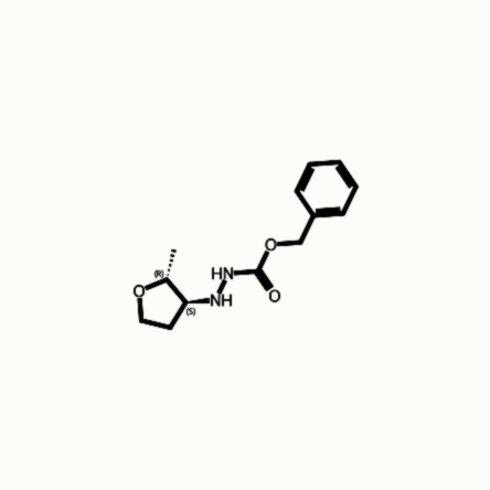 C[C@H]1OCC[C@@H]1NNC(=O)OCc1ccccc1